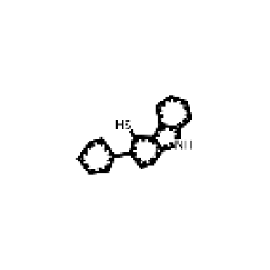 Sc1c(-c2ccccc2)ccc2[nH]c3ccccc3c12